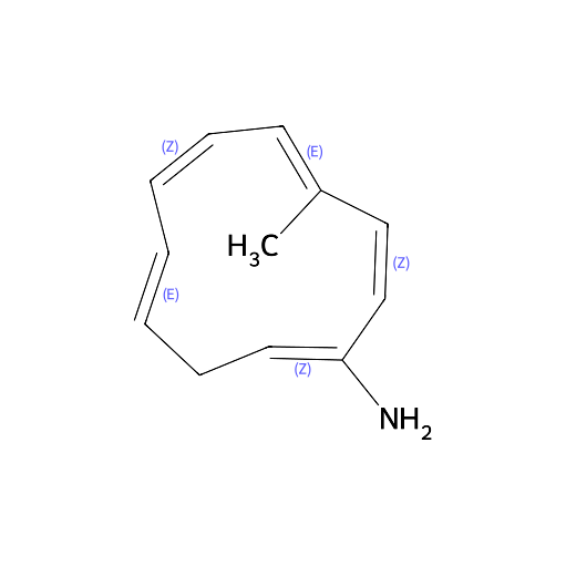 CC1=C\C=C/C=C/C/C=C(N)/C=C\1